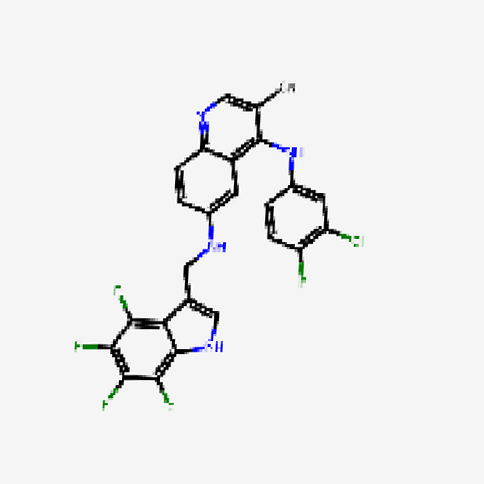 N#Cc1cnc2ccc(NCc3c[nH]c4c(F)c(F)c(F)c(F)c34)cc2c1Nc1ccc(F)c(Cl)c1